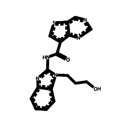 O=C(Nc1nc2ccccc2n1CCCO)c1csc2cncnc12